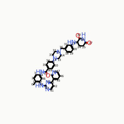 Cc1ccc(NC(=O)c2ccc(N3CCN(Cc4cccc(NC5CCC(=O)NC5=O)c4)CC3)cc2)cc1Nc1nccc(-c2cccnc2)n1